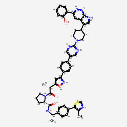 Cc1ncsc1-c1ccc([C@H](C)NC(=O)[C@@H]2CCCN2C(=O)[C@@H](c2cc(-c3ccc(-c4cnc(N5CCC(c6c[nH]c7nnc(-c8ccccc8O)cc67)CC5)nc4)cc3)no2)C(C)C)cc1